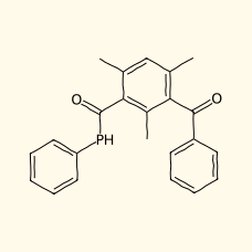 Cc1cc(C)c(C(=O)c2ccccc2)c(C)c1C(=O)Pc1ccccc1